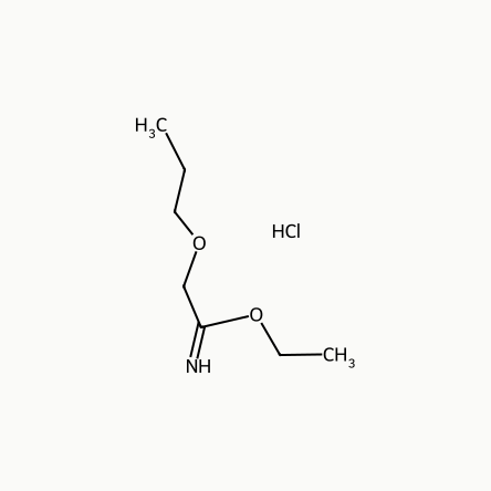 CCCOCC(=N)OCC.Cl